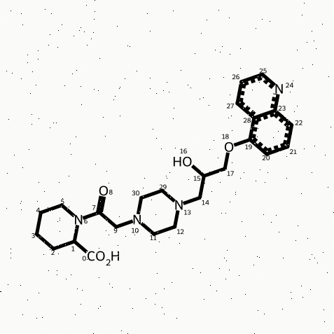 O=C(O)C1CCCCN1C(=O)CN1CCN(CC(O)COc2cccc3ncccc23)CC1